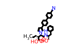 CCC[C@H](C(=O)O)C(C(=O)N[C@H](CO)Cc1ccccc1)n1ccc(-c2ccc(-c3ccc(C#N)cc3)cc2)c1